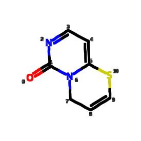 O=c1nccc2n1CC=CS2